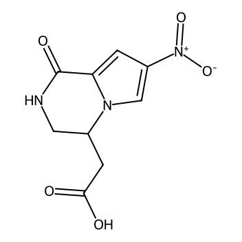 O=C(O)CC1CNC(=O)c2cc([N+](=O)[O-])cn21